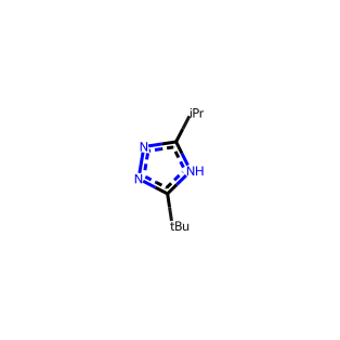 CC(C)c1nnc(C(C)(C)C)[nH]1